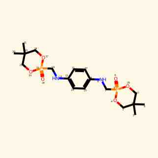 CC1(C)COP(=O)(CNc2ccc(NCP3(=O)OCC(C)(C)CO3)cc2)OC1